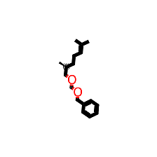 CC(C)=CCC[C@H](C)COCOCc1ccccc1